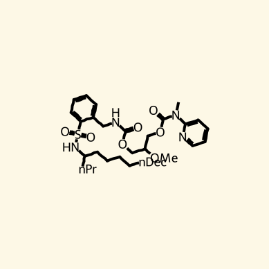 CCCCCCCCCCCCCCC(CCC)NS(=O)(=O)c1ccccc1CNC(=O)OCC(COC(=O)N(C)c1ccccn1)OC